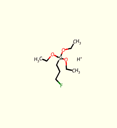 CCO[Si](CCCF)(OCC)OCC.[H+]